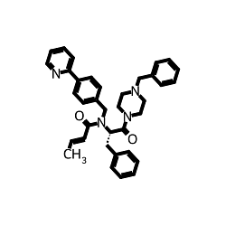 C/C=C/C(=O)N(Cc1ccc(-c2ccccn2)cc1)[C@@H](Cc1ccccc1)C(=O)N1CCN(Cc2ccccc2)CC1